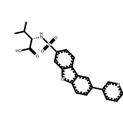 CC(C)[C@H](NS(=O)(=O)c1ccc2c(c1)oc1ccc(-c3cccnc3)cc12)C(=O)O